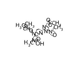 CCC1COCCN1c1cc(CS(=O)(=O)CC)nc(-c2ccc3c(cc(CN(C)C(=O)O)n3COCC[Si](C)(C)C)n2)n1